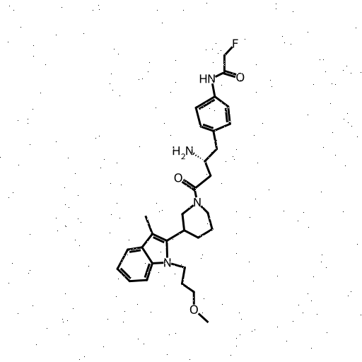 COCCCn1c(C2CCCN(C(=O)C[C@H](N)Cc3ccc(NC(=O)CF)cc3)C2)c(C)c2ccccc21